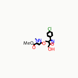 COC(=O)c1cc(OCc2c(-c3ccc(Cl)cc3)noc2CO)nn1C